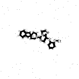 CCSc1ccccc1Sc1cnc(N2CCC3(CC2)Cc2ccccc2C3)n2ccnc12